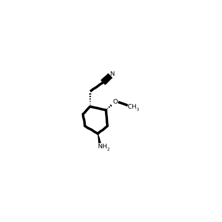 CO[C@@H]1C[C@@H](N)CC[C@@H]1CC#N